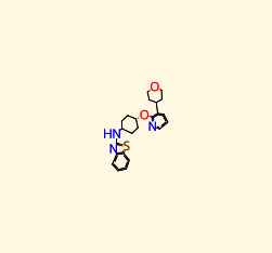 c1cnc(O[C@H]2CC[C@H](Nc3nc4ccccc4s3)CC2)c(C2CCOCC2)c1